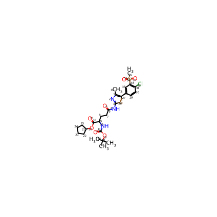 Cc1nc(NC(=O)CCC(NC(=O)OC(C)(C)C)C(=O)OC2CCCC2)sc1-c1ccc(Cl)c(S(C)(=O)=O)c1